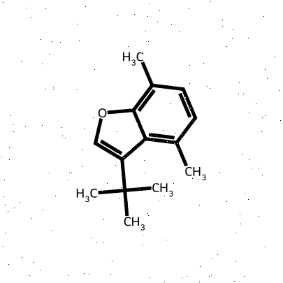 Cc1ccc(C)c2c(C(C)(C)C)coc12